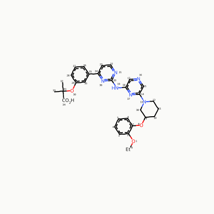 CCOc1ccccc1OC1CCCN(c2cncc(Nc3nccc(-c4cccc(OC(C)(C)C(=O)O)c4)n3)n2)C1